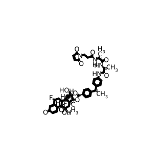 C[C@H](c1ccc(NC(=O)[C@H](C)NC(=O)[C@H](C)NC(=O)CCN2C(=O)C=CC2=O)cc1)c1ccc([C@@H]2O[C@@H]3C[C@H]4[C@@H]5C[C@H](F)C6=CC(=O)C=C[C@]6(C)[C@@]5(F)[C@@H](O)C[C@]4(C)[C@]3(C(=O)CO)O2)cc1